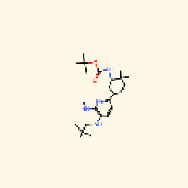 CNc1nc(C2CCC(C)(C)C(NC(=O)OC(C)(C)C)C2)ccc1NCC(C)(C)C